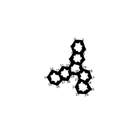 c1ccc2cc3c(cc2c1)c1cc2ccccc2cc1c1c2ccccc2ccc31